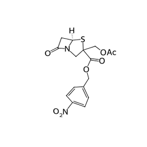 CC(=O)OCC1(C(=O)OCc2ccc([N+](=O)[O-])cc2)CN2C(=O)C[C@H]2S1